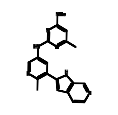 CNc1cc(C)nc(Nc2cnc(C)c(-c3cc4ccncc4[nH]3)c2)n1